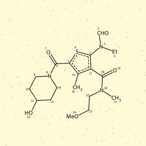 CCN(C=O)c1sc(C(=O)N2CCC(O)CC2)c(C)c1C(=O)N(C)CCOC